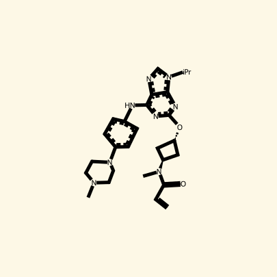 C=CC(=O)N(C)[C@H]1C[C@H](Oc2nc(Nc3ccc(N4CCN(C)CC4)cc3)c3ncn(C(C)C)c3n2)C1